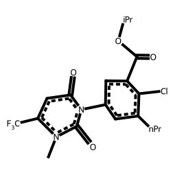 CCCc1cc(-n2c(=O)cc(C(F)(F)F)n(C)c2=O)cc(C(=O)OC(C)C)c1Cl